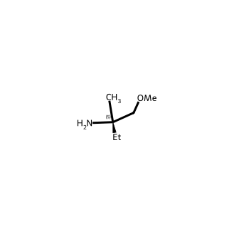 CC[C@](C)(N)COC